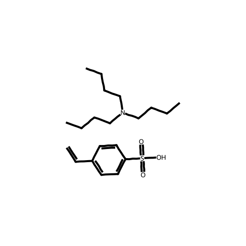 C=Cc1ccc(S(=O)(=O)O)cc1.CCCCN(CCCC)CCCC